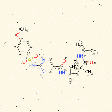 COc1ccc(S(=O)(=O)Nc2ncc(C(=O)NC(C)(C)CC(C)(C)C(=O)NC(C)C)cn2)cc1